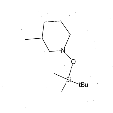 CC1CCCN(O[Si](C)(C)C(C)(C)C)C1